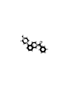 CN1CCN(c2cccc3c2CCN(C(=O)c2ccccc2)C3)CC1